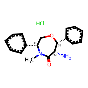 CN1C(=O)[C@@H](N)[C@@H](c2ccccc2)OC[C@H]1c1ccccc1.Cl